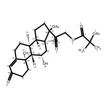 CC(=O)OC(C)(C)C(=O)OCC(=O)[C@@]1(OC(C)=O)CC[C@H]2[C@@H]3CCC4=CC(=O)CC[C@]4(C)[C@H]3[C@@H](O)C[C@@]21C